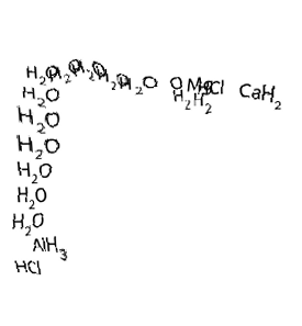 Cl.Cl.O.O.O.O.O.O.O.O.O.O.O.O.[AlH3].[CaH2].[MgH2]